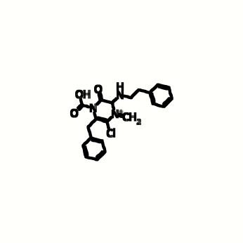 C=[N+]1C(Cl)=C(Cc2ccccc2)N(C(=O)O)C(=O)C1NCCc1ccccc1